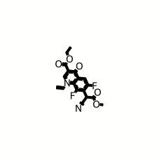 C=Cn1cc(C(=O)OCC)c(=O)c2cc(F)c(C(C#N)C(=O)OC)c(F)c21